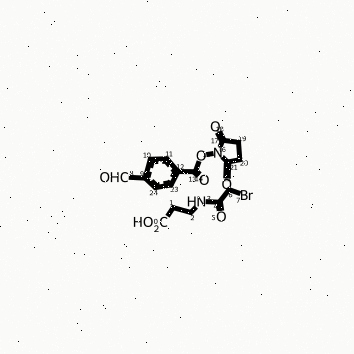 O=C(O)CCNC(=O)CBr.O=Cc1ccc(C(=O)ON2C(=O)CCC2=O)cc1